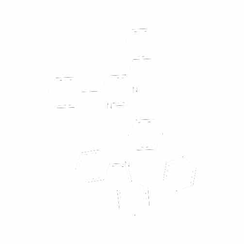 c1ccc(-c2cc(-c3ccccc3)nc(-c3ccc4c(c3)-n3c5ccccc5c5cccc(c53)-c3ccccc3-4)n2)cc1